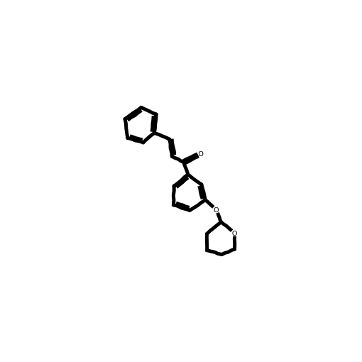 O=C(/C=C/c1ccccc1)c1cccc(OC2CCCCO2)c1